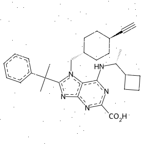 C#C[C@H]1CC[C@H](Cn2c(C(C)(C)c3ccccc3)nc3nc(C(=O)O)nc(N[C@H](C)C4CCC4)c32)CC1